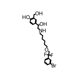 OCc1cc(C(O)CNCCCCCCOCC(F)(F)c2cccc(Br)c2)ccc1O